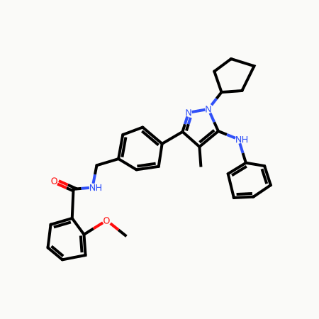 COc1ccccc1C(=O)NCc1ccc(-c2nn(C3CCCC3)c(Nc3ccccc3)c2C)cc1